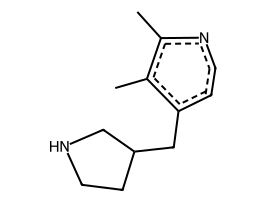 Cc1nccc(CC2CCNC2)c1C